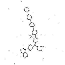 Cc1cccc(N(c2ccc(-c3cccc4ccccc34)cc2)c2ccc3c(c2)C(C)(C)c2cc(-c4ccc(-c5ccc(-c6ccccc6)cc5)cc4)ccc2-3)c1